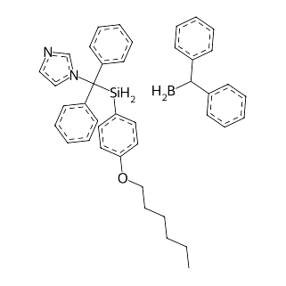 BC(c1ccccc1)c1ccccc1.CCCCCCOc1ccc([SiH2]C(c2ccccc2)(c2ccccc2)n2ccnc2)cc1